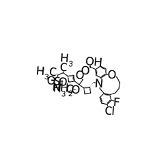 CO[C@@](C=O)(C1=C[C@H]([C@H](C)[C@@H](C)S(N)(=O)=O)C1)[C@@H]1CC[C@H]1CN1Cc2ccc(Cl)c(F)c2CCCCOc2ccc(C(=O)O)cc21